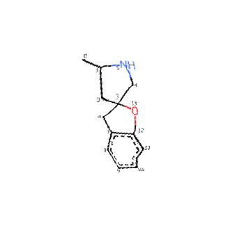 CC1CC2(CN1)Cc1ccccc1O2